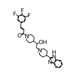 O=C(C=Cc1cc(F)c(F)c(F)c1)N1CCC(C(O)CN2CCC(c3nc4ccccc4[nH]3)CC2)CC1